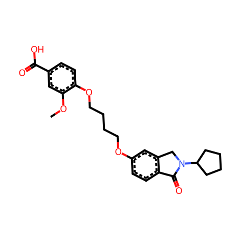 COc1cc(C(=O)O)ccc1OCCCCOc1ccc2c(c1)CN(C1CCCC1)C2=O